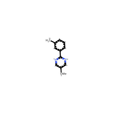 COc1cnc(-c2cccc(C)c2)nc1